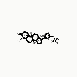 CN1C(=O)C=C[C@@]2(C)C1CC[C@@H]1[C@H]2CC[C@]2(C)C(c3csc(NS(C)(=O)=O)n3)CC[C@@H]12